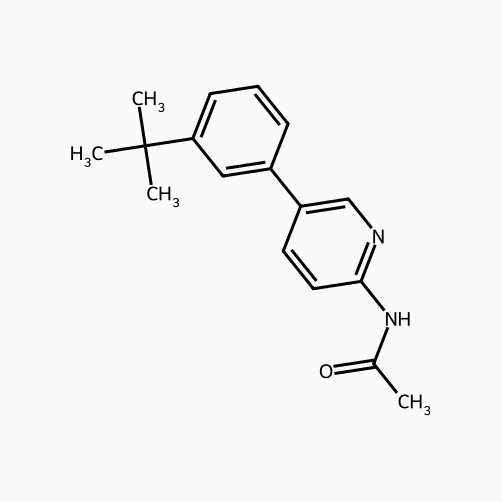 CC(=O)Nc1ccc(-c2cccc(C(C)(C)C)c2)cn1